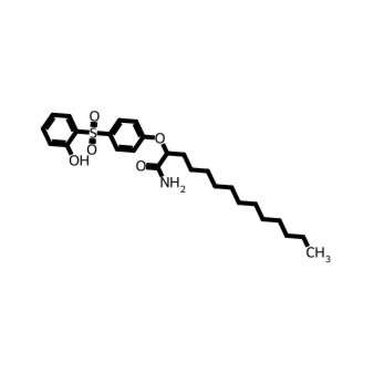 CCCCCCCCCCCCC(Oc1ccc(S(=O)(=O)c2ccccc2O)cc1)C(N)=O